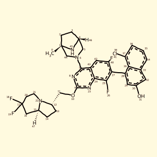 C[C@]12CC[C@H](CN(c3nc(OC[C@@H]4CC[C@H]5CC(F)(F)CCN45)nc4c(F)c(-c5cc(O)cc6cccc(Cl)c56)c(F)cc34)C1)N2